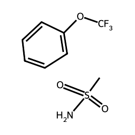 CS(N)(=O)=O.FC(F)(F)Oc1ccccc1